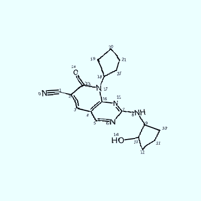 N#Cc1cc2cnc(NC3CCCC3O)nc2n(C2CCCC2)c1=O